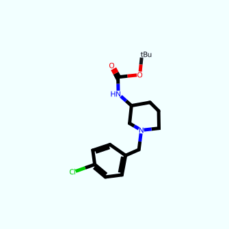 CC(C)(C)OC(=O)NC1CCCN(Cc2ccc(Cl)cc2)C1